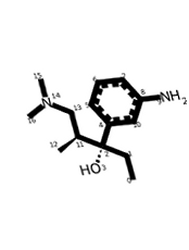 CC[C@](O)(c1cccc(N)c1)[C@@H](C)CN(C)C